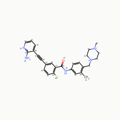 CN1CCN(Cc2ccc(NC(=O)c3cc(C#Cc4cccnc4N)ccc3F)cc2C(F)(F)F)CC1